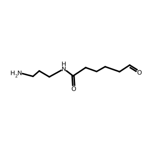 NCCCNC(=O)CCCCC=O